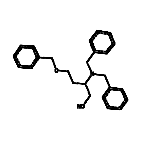 OCC(CCOCc1ccccc1)N(Cc1ccccc1)Cc1ccccc1